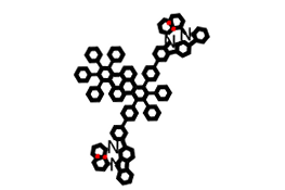 c1ccc(-c2c(-c3ccccc3)c(-c3ccccc3)c3c4cccc5c6c(-c7ccc(-c8ccc9c(c8)c8ccc%10c%11ccccc%11n(-c%11ccccc%11)c%10c8n9-c8ccccc8)cc7)c(-c7ccccc7)c(-c7ccccc7)c(-c7ccc(-c8ccc9c(c8)c8ccc%10c%11ccccc%11n(-c%11ccccc%11)c%10c8n9-c8ccccc8)cc7)c6c6cccc(c3c2-c2ccccc2)c6c45)cc1